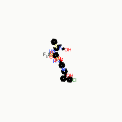 O=C(NS(=O)(=O)c1ccc(NC(CSc2ccccc2)CC2CCN2CCO)c(S(=O)(=O)C(F)(F)F)c1)c1ccc(N2CCC(C(O)c3ccccc3-c3ccc(Cl)cc3)CC2)cc1